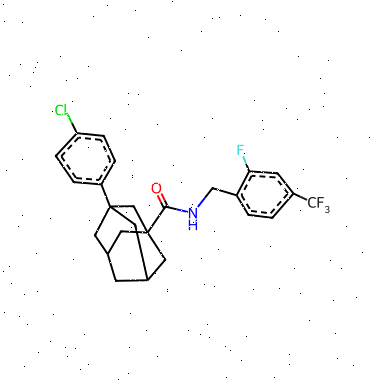 O=C(NCc1ccc(C(F)(F)F)cc1F)C12CC3CC(C1)CC(c1ccc(Cl)cc1)(C3)C2